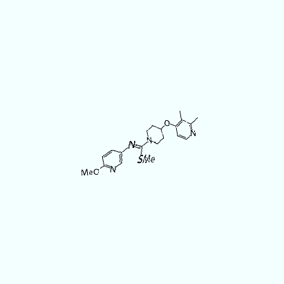 COc1ccc(/N=C(\SC)N2CCC(Oc3ccnc(C)c3C)CC2)cn1